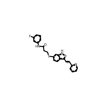 O=C(CCSc1ccc2c(/C=C/c3ccccn3)n[nH]c2c1)Nc1cccc(F)c1